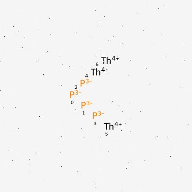 [P-3].[P-3].[P-3].[P-3].[Th+4].[Th+4].[Th+4]